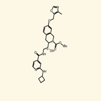 Cc1ncoc1COc1ccc2c(c1)CN(C(=O)OC(C)(C)C)C([C@H](O)CNC(=O)c1ccnc(NC3CCC3)c1)C2